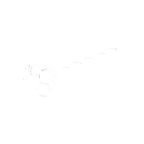 O=C1CNC(=O)N1c1ccccc1C#CCCOCCCCCCBr